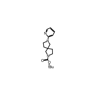 CC(C)(C)OC(=O)N1CCC2(CCN(c3ccccn3)C2)C1